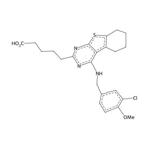 COc1ccc(CNc2nc(CCCCC(=O)O)nc3sc4c(c23)CCCC4)cc1Cl